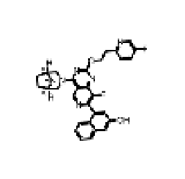 Oc1cc(-c2ncc3c(N4C[C@H]5CC[C@@H](C4)N5)nc(OCCc4ccc(F)cn4)nc3c2F)c2ccccc2c1